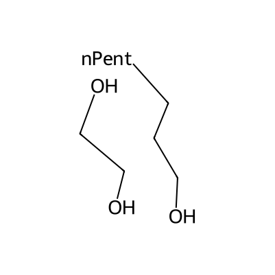 CCCCCCCCO.OCCO